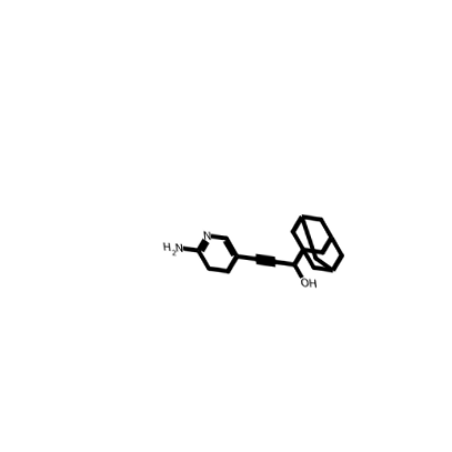 NC1=NC=C(C#CC(O)C23CC4CC(CC(C4)C2)C3)CC1